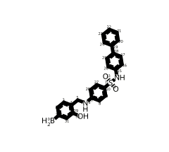 Bc1ccc(CNc2ccc(S(=O)(=O)Nc3ccc(-c4ccccc4)cc3)cc2)c(O)c1